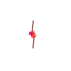 CCCCCCCCC=CCCCCCCCC(=O)OOCC(C[N+](C)(C)C)OOC(=O)CCCCCCCC=CCCCCCCCC